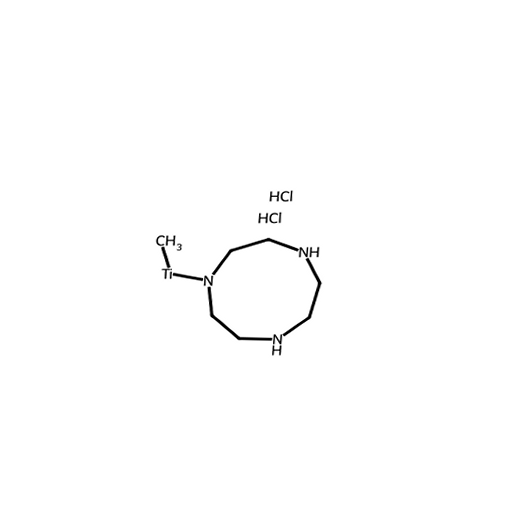 Cl.Cl.[CH3][Ti][N]1CCNCCNCC1